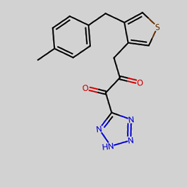 Cc1ccc(Cc2cscc2CC(=O)C(=O)c2nn[nH]n2)cc1